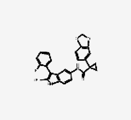 CC(C)(C)c1[nH]c2ccc(NC(=O)C3(c4ccc5c(c4)OCO5)CC3)cc2c1-c1ccccc1F